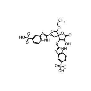 CCOC(=O)C1(CSc2nc3cc(S(=O)(=O)O)ccc3[nH]2)OC(=O)C(O)=C1Sc1nc2cc(S(=O)(=O)O)ccc2[nH]1